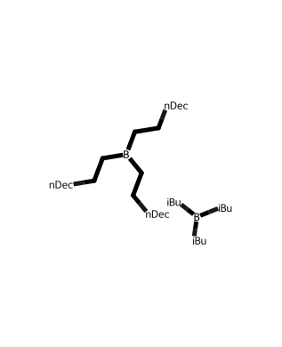 CCC(C)B(C(C)CC)C(C)CC.CCCCCCCCCCCCB(CCCCCCCCCCCC)CCCCCCCCCCCC